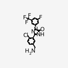 NCc1ccc(Cl)c(-c2nn(-c3cc(F)cc(C(F)(F)F)c3)c(=O)[nH]2)c1